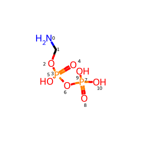 NCOP(=O)(O)OP(=O)(O)O